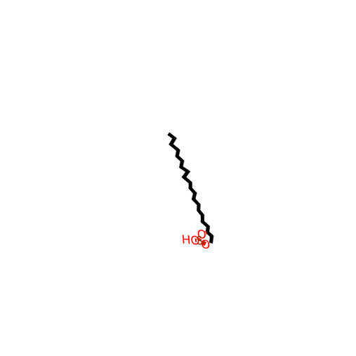 CCCCCCCCCCCCCCCCCCC(CC)OS(=O)O